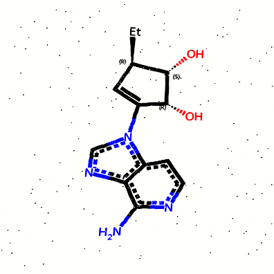 CC[C@@H]1C=C(n2cnc3c(N)nccc32)[C@@H](O)[C@H]1O